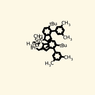 Cc1cc(C)cc(-c2c(C(C)(C)C)ccc3c2C=C(CC(C)C)[CH]3[Zr]([Cl])([Cl])([CH]2C(CC(C)C)=Cc3c2ccc(C(C)(C)C)c3-c2cc(C)cc(C)c2)[SiH](C)C)c1